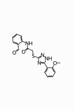 COc1ccccc1-c1nc(SCC(=O)Nc2ccccc2C=O)n[nH]1